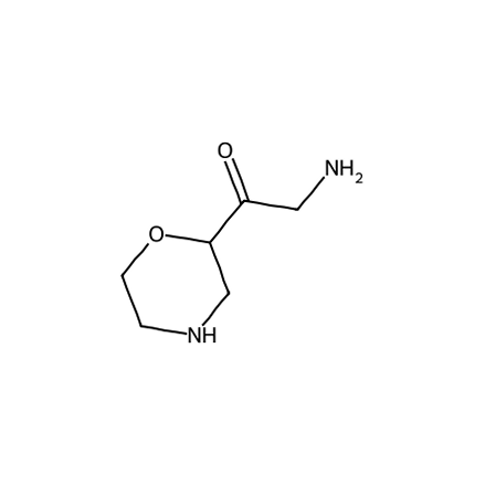 NCC(=O)C1CNCCO1